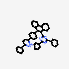 N=C(/C=C\C(=N)c1ccc(-c2c(-c3nc(-c4ccccc4)nc(-c4ccccc4)n3)c3ccccc3c3ccccc23)cc1)c1ccccc1